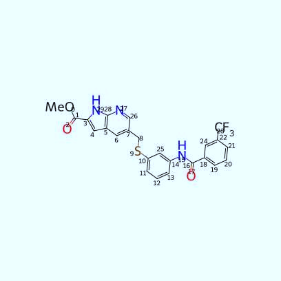 COC(=O)c1cc2cc(CSc3cccc(NC(=O)c4cccc(C(F)(F)F)c4)c3)cnc2[nH]1